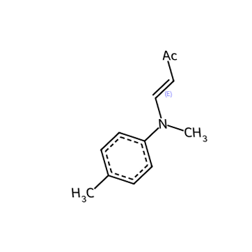 CC(=O)/C=C/N(C)c1ccc(C)cc1